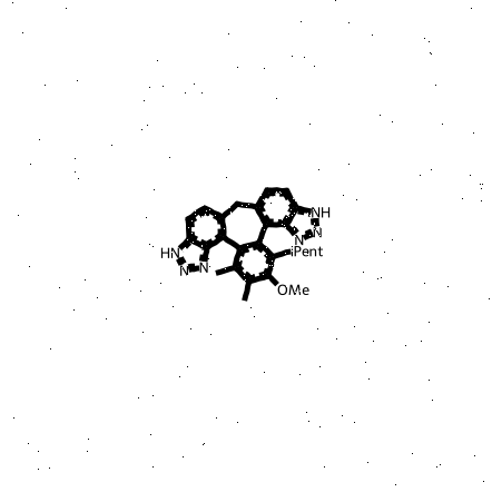 CCCC(C)c1c(OC)c(C)c(C)c2c1-c1c(ccc3[nH]nnc13)Cc1ccc3[nH]nnc3c1-2